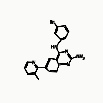 Cc1cccnc1-c1ccc2nc(N)nc(Nc3cccc(Br)c3)c2c1